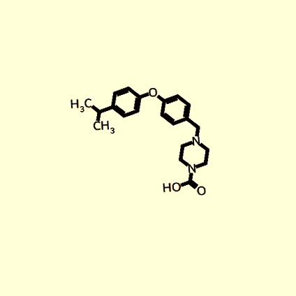 CC(C)c1ccc(Oc2ccc(CN3CCN(C(=O)O)CC3)cc2)cc1